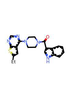 CCc1cc2c(N3CCN(C(=O)c4c[nH]c5ccccc45)CC3)ncnc2s1